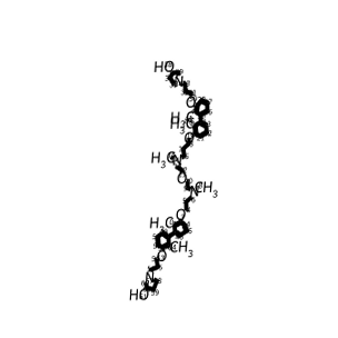 Cc1c(OCCCN(C)CCOCCN(C)CCCOc2cccc(-c3cccc(OCCCN4CC[C@@H](O)C4)c3C)c2C)cccc1-c1cccc(OCCCN2CC[C@@H](O)C2)c1C